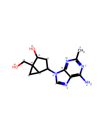 Cc1nc(N)c2ncn(C3CC(O)C4(CO)CC34)c2n1